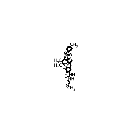 COCCNC(=O)Nc1cc(F)c(Oc2ccnc3c2c(C(C)C(C)C)cn3S(=O)(=O)c2ccc(C)cc2)c(F)c1